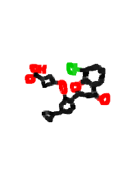 O=C(O)C1CC(Oc2cc(C3CC3)ccc2-c2cc(=O)c3cccc(Cl)c3o2)C1